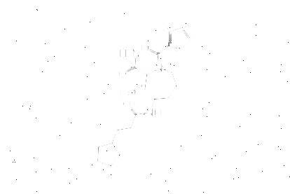 NC(=O)C1[C@@H](O)C(NC(=O)[CH]CC2CCCC2)CCCN1C(=O)c1ccco1